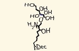 CCCCCCCCCCCCCCCC(O)[C@@H](N)COC(O)/C(O)=C(\O)C(O)CCO